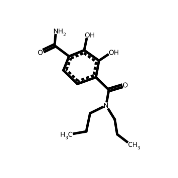 CCCN(CCC)C(=O)c1ccc(C(N)=O)c(O)c1O